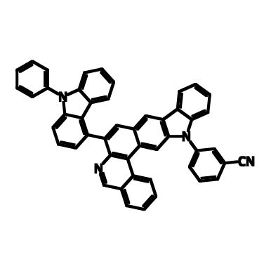 N#Cc1cccc(-n2c3ccccc3c3cc4cc(-c5cccc6c5c5ccccc5n6-c5ccccc5)c5ncc6ccccc6c5c4cc32)c1